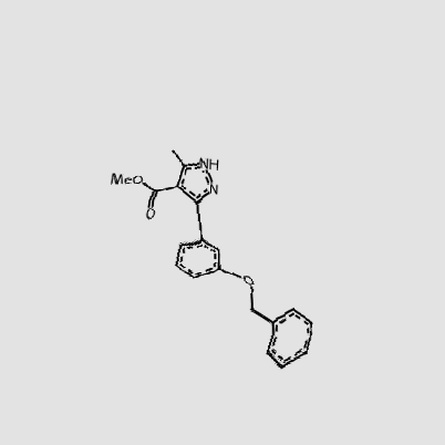 COC(=O)c1c(-c2cccc(OCc3ccccc3)c2)n[nH]c1C